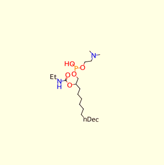 CCCCCCCCCCCCCCCCC(COP(O)OCCN(C)C)OC(=O)NCC